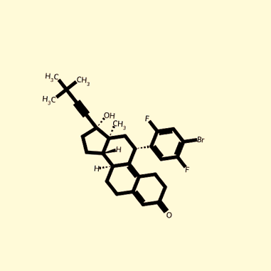 CC(C)(C)C#C[C@]1(O)CC[C@H]2[C@@H]3CCC4=CC(=O)CCC4=C3[C@@H](c3cc(F)c(Br)cc3F)C[C@@]21C